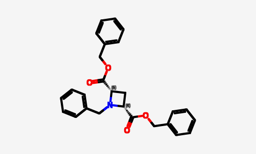 O=C(OCc1ccccc1)[C@H]1C[C@@H](C(=O)OCc2ccccc2)N1Cc1ccccc1